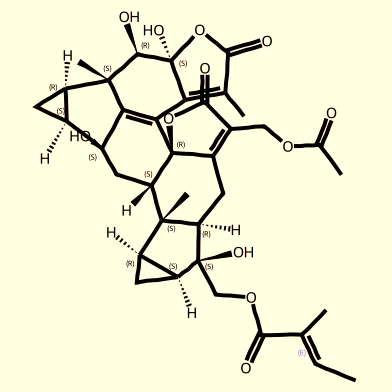 C/C=C(\C)C(=O)OC[C@]1(O)[C@H]2C[C@H]2[C@]2(C)[C@@H]3C[C@@]4(O)C5=C(C6=C(C)C(=O)O[C@]6(O)[C@H](O)[C@@]5(C)[C@@H]5C[C@@H]54)[C@@]34OC(=O)C(COC(C)=O)=C4C[C@@H]12